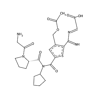 CC(=O)OCc1cc(C(=O)N(C(=O)[C@@H]2CCCN2C(=O)CN)C2CCCC2)sc1C(=N)N=CC(=O)O